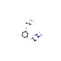 CC1(C)OB(c2cccc(Nc3nc4nonc4nc3O)c2)OC1(C)C